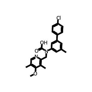 COc1c(C)cnc(CN(C(=O)O)c2cc(C)cc(-c3ccc(Cl)cc3)c2)c1C